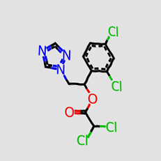 O=C(OC(Cn1cncn1)c1ccc(Cl)cc1Cl)C(Cl)Cl